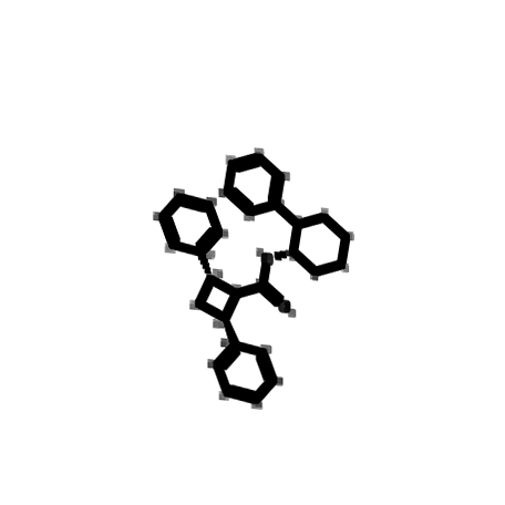 O=C(O[C@H]1CCCCC1c1ccccc1)C1[C@@H](c2ccccc2)C[C@@H]1c1ccccc1